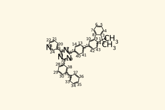 CC1(C)c2ccccc2-c2cc(-c3ccc(-c4nc(-c5cccnc5)nc(-c5cccc(-c6ccccc6)c5)n4)cc3)ccc21